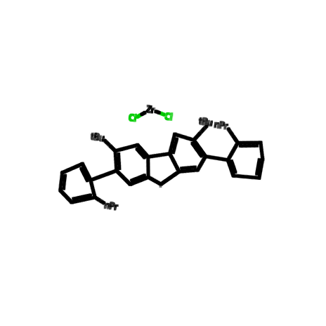 CCCc1ccccc1-c1cc2c(cc1C(C)(C)C)-c1cc(C(C)(C)C)c(-c3ccccc3CCC)cc1[CH]2.[Cl][Zr][Cl]